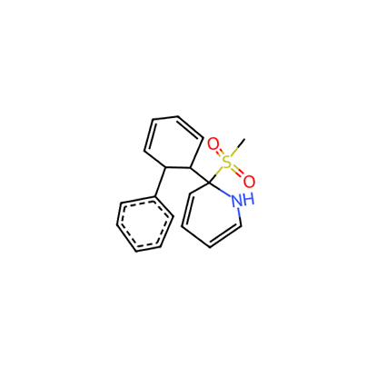 CS(=O)(=O)C1(C2C=CC=CC2c2ccccc2)C=CC=CN1